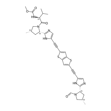 COC(=O)N[C@H](C(=O)N1C[C@@H](C)C[C@H]1c1ncc(C#Cc2cc3sc(C#Cc4cnc([C@@H]5C[C@H](C)CN5C=O)[nH]4)cc3s2)[nH]1)C(C)C